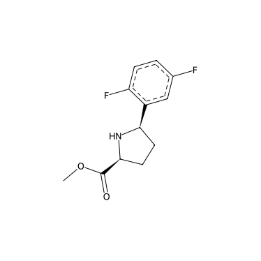 COC(=O)[C@@H]1CC[C@H](c2cc(F)ccc2F)N1